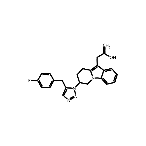 C=C(O)Cc1c2n(c3ccccc13)CC(n1nncc1Cc1ccc(F)cc1)CC2